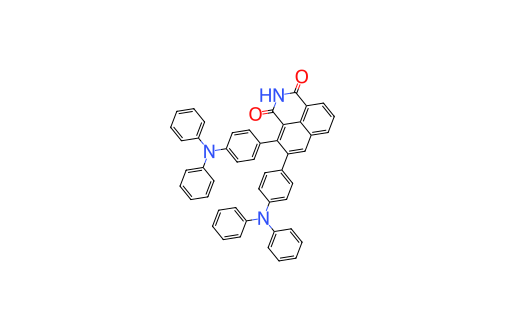 O=C1NC(=O)c2c(-c3ccc(N(c4ccccc4)c4ccccc4)cc3)c(-c3ccc(N(c4ccccc4)c4ccccc4)cc3)cc3cccc1c23